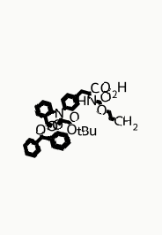 C=CCOC(=O)N[C@@H](Cc1ccc(N(C(=O)C(=O)OC(C)(C)C)c2ccccc2C(=O)OC(c2ccccc2)c2ccccc2)cc1)C(=O)O